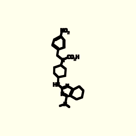 CN(C)c1nc(NC2CCC(N(Cc3ccc([N+](=O)[O-])cc3)C(=O)O)CC2)nc2c1CCCC2